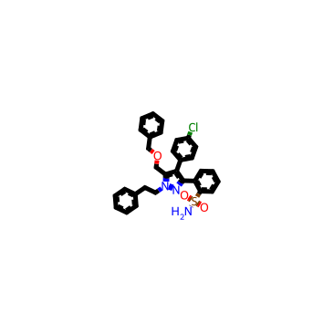 NS(=O)(=O)c1ccccc1-c1nn(CCc2ccccc2)c(COCc2ccccc2)c1-c1ccc(Cl)cc1